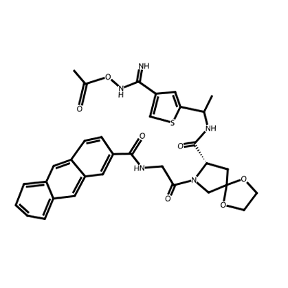 CC(=O)ONC(=N)c1csc(C(C)NC(=O)[C@@H]2CC3(CN2C(=O)CNC(=O)c2ccc4cc5ccccc5cc4c2)OCCO3)c1